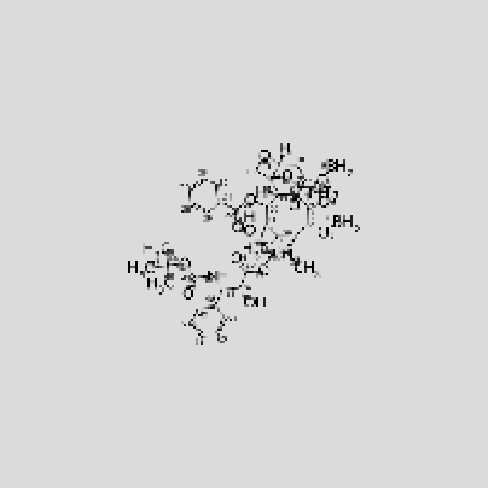 BO[C@H]1C(=O)[C@]2(C)[C@@H](OB)C[C@H]3OC[C@@]3(OC(C)=O)[C@H]2[C@H](OC(=O)c2ccccc2)[C@]2(O)C[C@H](OC(=O)[C@H](O)[C@@H](NC(=O)OC(C)(C)C)c3ccccc3)C(C)=C1C2(C)C